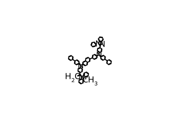 C=C(c1ccc(N(c2ccc(-c3ccccc3)cc2)c2ccc3cc(-c4ccc(N(c5ccc(-c6ccccc6)cc5)c5ccc(-c6nc7ccccc7n6-c6ccccc6)cc5)cc4)ccc3c2)cc1)N(c1ccccc1)c1ccccc1C